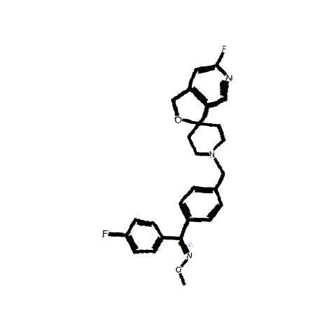 CO/N=C(\c1ccc(F)cc1)c1ccc(CN2CCC3(CC2)OCc2cc(F)ncc23)cc1